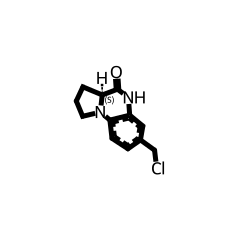 O=C1Nc2cc(CCl)ccc2N2CCC[C@@H]12